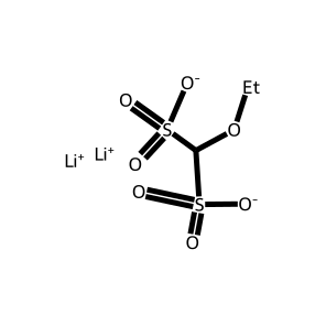 CCOC(S(=O)(=O)[O-])S(=O)(=O)[O-].[Li+].[Li+]